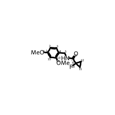 COc1ccc(CNC(=O)C2(F)CC2)c(OC)c1